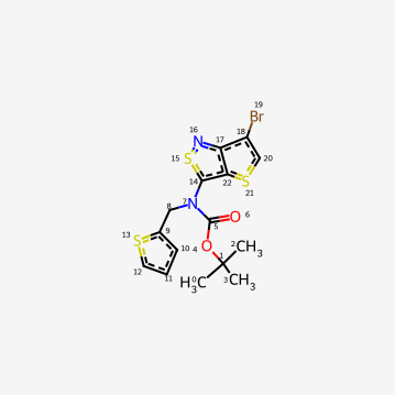 CC(C)(C)OC(=O)N(Cc1cccs1)c1snc2c(Br)csc12